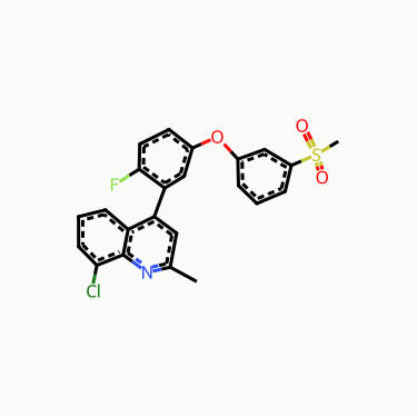 Cc1cc(-c2cc(Oc3cccc(S(C)(=O)=O)c3)ccc2F)c2cccc(Cl)c2n1